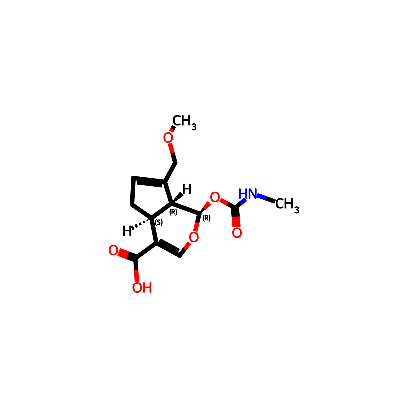 CNC(=O)O[C@H]1OC=C(C(=O)O)[C@H]2CC=C(COC)[C@H]12